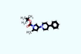 CC1CC(N2CCC(c3ccccc3)CC2)CN1C(=O)OC(C)(C)C